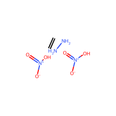 C=C.NN.O=[N+]([O-])O.O=[N+]([O-])O